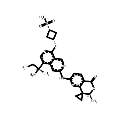 CC[C@@](C)(N)c1cnc(O[C@H]2C[C@@H](S(C)(=O)=O)C2)c2cnc(Nc3ccc4c(n3)C3(CC3)[C@H](C)OC4=O)cc12